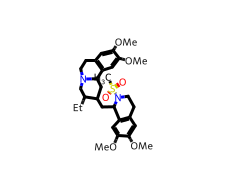 CCC1CN2CCc3cc(OC)c(OC)cc3C2CC1CC1c2cc(OC)c(OC)cc2CCN1S(C)(=O)=O